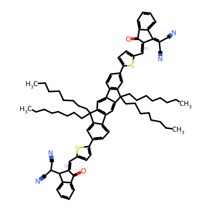 CCCCCCCCC1(CCCCCCCC)c2cc(-c3ccc(/C=C4\C(=O)c5ccccc5C4=C(C#N)C#N)s3)ccc2-c2cc3c(cc21)-c1ccc(-c2ccc(/C=C4\C(=O)c5ccccc5C4C(C#N)C#N)s2)cc1C3(CCCCCCCC)CCCCCCCC